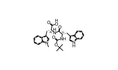 Cn1cc(C[C@@H](NC(=O)[C@H](Cc2c[nH]c3ccccc23)NC(=O)OC(C)(C)C)C(=O)O)c2ccccc21